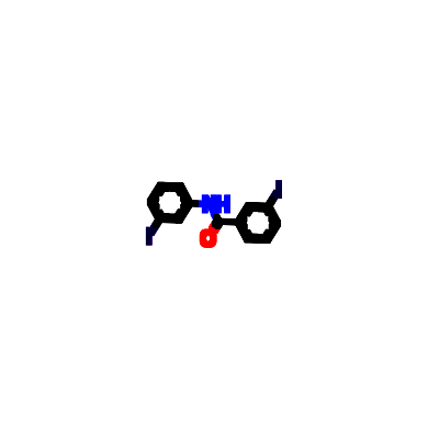 O=C(Nc1cccc(I)c1)c1cccc(I)c1